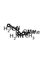 COCCN(C)c1cc2ncc3c(N)nc(-c4cncc(OC[C@@H](N)Cc5ccccc5)c4)cc3c2cc1OC